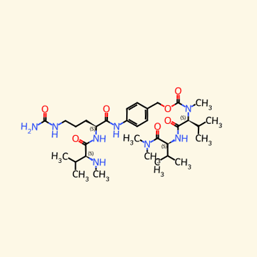 CN[C@H](C(=O)N[C@@H](CCCNC(N)=O)C(=O)Nc1ccc(COC(=O)N(C)[C@H](C(=O)N[C@H](C(=O)N(C)C)C(C)C)C(C)C)cc1)C(C)C